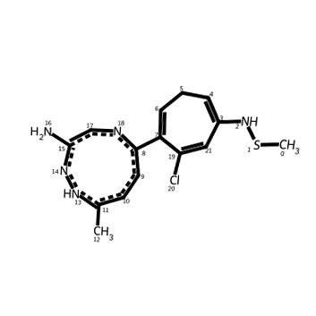 CSNC1=CCC=C(c2ccc(C)[nH]nc(N)cn2)C(Cl)=C1